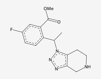 COC(=O)c1cc(F)ccc1C(C)n1nnc2c1CCNC2